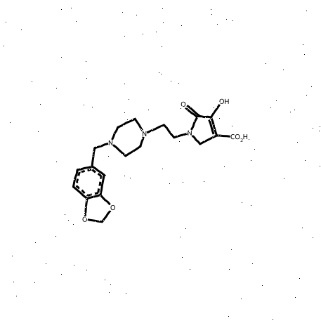 O=C(O)C1=C(O)C(=O)N(CCN2CCN(Cc3ccc4c(c3)OCO4)CC2)C1